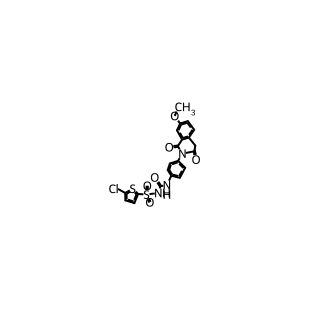 COc1ccc2c(c1)C(=O)N(c1ccc(NC(=O)NS(=O)(=O)c3ccc(Cl)s3)cc1)C(=O)C2